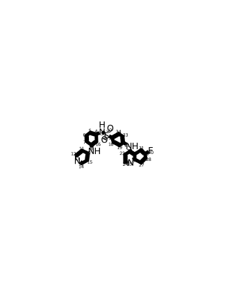 O=S(=O)(Nc1cccc(Nc2ccncc2)c1)c1ccc(Nc2ccnc3ccc(F)cc23)cc1